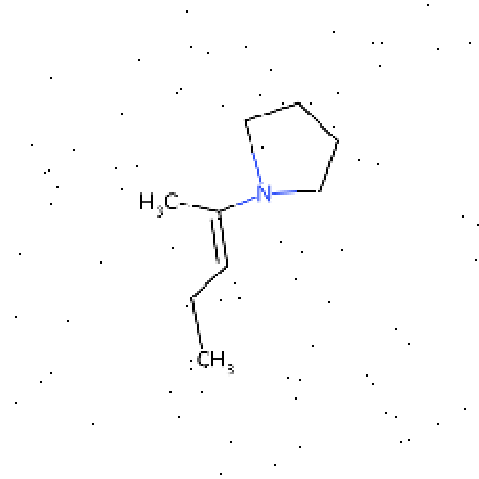 CCC=C(C)N1CCCC1